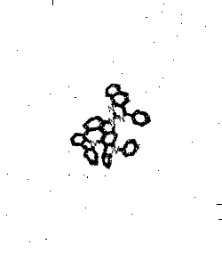 c1ccc(-c2nc(-n3c4cccc5c6cccc7c8ccccc8n(c67)c6c7c8ccccc8n(-c8ccccc8)c7cc3c6c54)nc3c2ccc2ccccc23)cc1